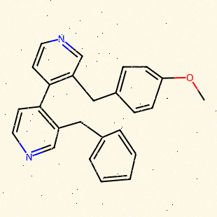 COc1ccc(Cc2cnccc2-c2ccncc2Cc2ccccc2)cc1